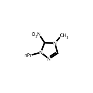 CCCN1N=CN(C)C1[N+](=O)[O-]